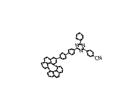 N#Cc1ccc(-c2nc(-c3ccccc3)nc(-c3ccc(-c4ccc(-c5cc6ccc7cccc8c9cccc%10ccc%11cccc(c(c5)c6c78)c%11c%109)cc4)cc3)n2)cc1